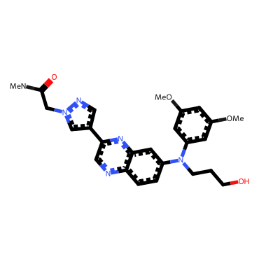 CNC(=O)Cn1cc(-c2cnc3ccc(N(CCCO)c4cc(OC)cc(OC)c4)cc3n2)cn1